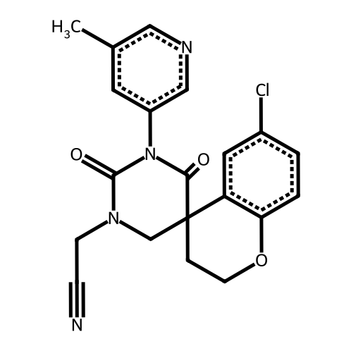 Cc1cncc(N2C(=O)N(CC#N)CC3(CCOc4ccc(Cl)cc43)C2=O)c1